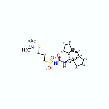 CC(=O)N(C)CCCCS(=O)(=O)NC(=O)Nc1c2c(cc3c1CCC3)CCC2